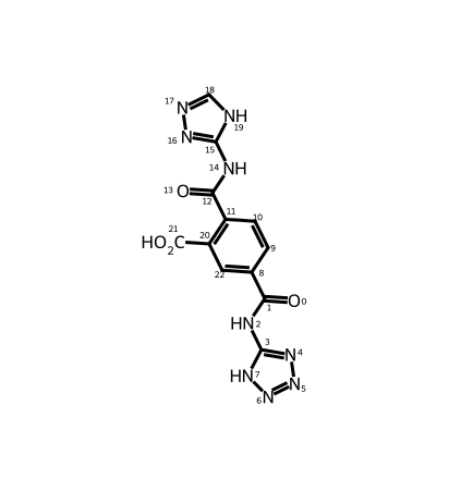 O=C(Nc1nnn[nH]1)c1ccc(C(=O)Nc2nnc[nH]2)c(C(=O)O)c1